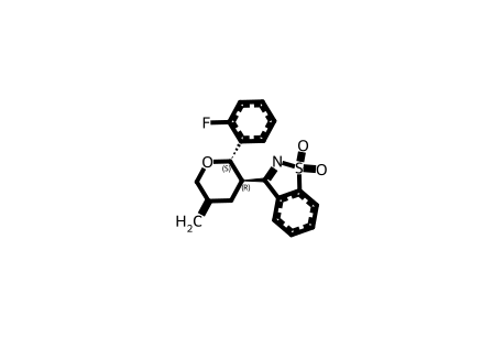 C=C1CO[C@H](c2ccccc2F)[C@@H](C2=NS(=O)(=O)c3ccccc32)C1